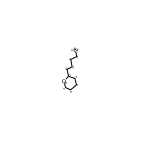 BrCCCCC1CCCCO1